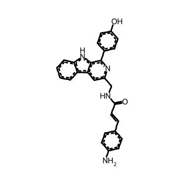 Nc1ccc(/C=C/C(=O)NCc2cc3c([nH]c4ccccc43)c(-c3ccc(O)cc3)n2)cc1